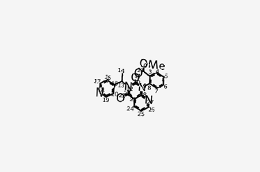 COC(=O)c1ccccc1-n1c(=O)n(C(C)c2ccncc2)c(=O)c2cccnc21